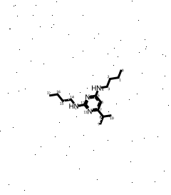 CCCCNc1cc(C(C)C)nc(NCCCC)n1